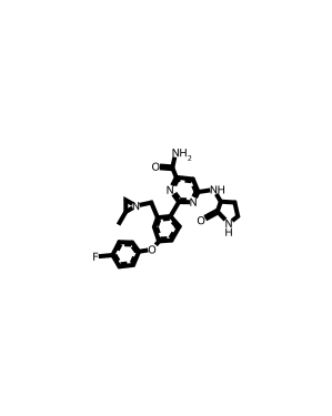 CC1CN1Cc1cc(Oc2ccc(F)cc2)ccc1-c1nc(NC2CCNC2=O)cc(C(N)=O)n1